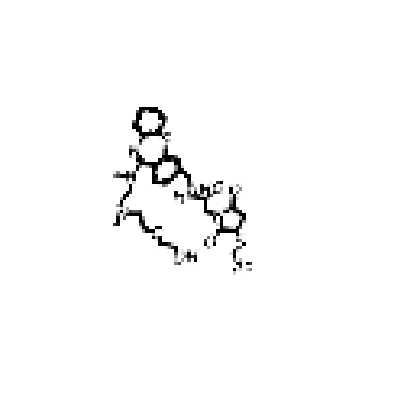 CC(=O)CSC1CC(=O)N(CC(O)NCc2ccc3c(c2)Sc2ccccc2N=C3N(C)CCN(C)CCOCCO)C1=O